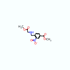 COC(=O)CNCc1ccc(C(=O)OC)cc1[N+](=O)[O-]